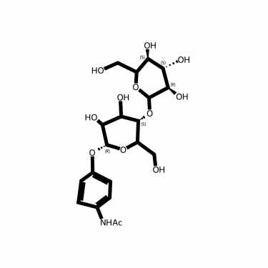 CC(=O)Nc1ccc(O[C@H]2OC(CO)[C@@H](OC3OC(CO)[C@@H](O)[C@H](O)[C@H]3O)C(O)C2O)cc1